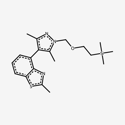 Cc1nc2c(-c3c(C)nn(COCC[Si](C)(C)C)c3C)cccc2s1